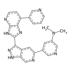 CN(C)c1cncc(-c2cc3c(-c4nc5c(-c6cccnc6)ccnc5[nH]4)n[nH]c3cn2)c1